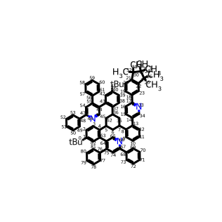 CC(C)(C)c1ccc(C2CC(c3ccccc3-c3ccc(-c4ccc5c(c4)C(C)(C)C(C)(C)C5(C)C)nc3)CC(c3ccc(C(C)(C)C)cc3-c3cnc(-c4ccccc4)cc3-c3ccccc3)C2)c(-c2cnc(-c3ccccc3)cc2-c2ccccc2)c1